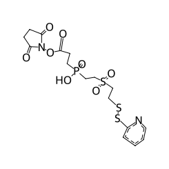 O=C(CCP(=O)(O)CCS(=O)(=O)CCSSc1ccccn1)ON1C(=O)CCC1=O